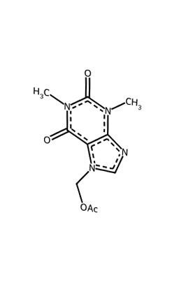 CC(=O)OCn1cnc2c1c(=O)n(C)c(=O)n2C